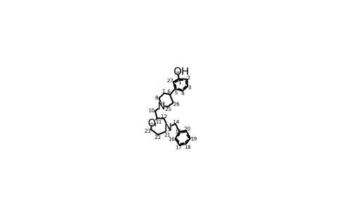 Oc1cccc(C2CCN(CC3CN(Cc4ccccc4)CCCO3)CC2)c1